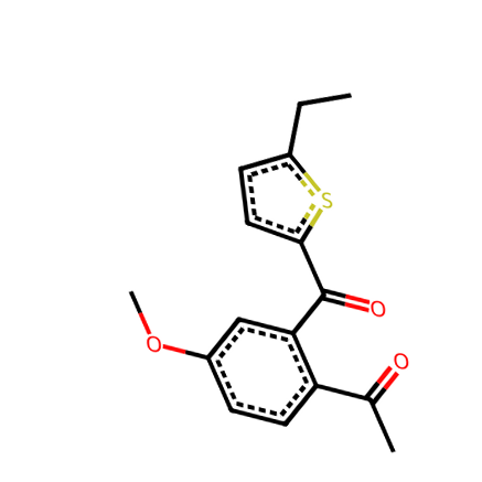 CCc1ccc(C(=O)c2cc(OC)ccc2C(C)=O)s1